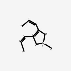 C/C=C\C1=C(/C=C\C)CN(C)C1